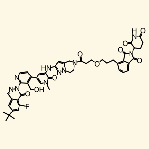 Cn1cc(-c2ccnc(-n3ncc4cc(C(C)(C)C)cc(F)c4c3=O)c2CO)cc(Nc2cc3n(n2)CCN(C(=O)CCOCCCc2cccc4c2C(=O)N(C2CCC(=O)NC2=O)C4=O)C3)c1=O